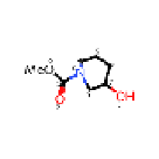 COC(=O)N1CCCC(O)C1